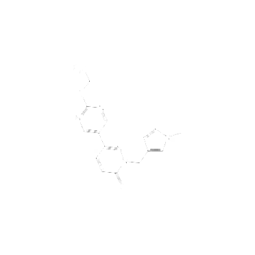 Cn1ccc(Cn2nc(-c3cnc(OCC(F)(F)F)nc3)ccc2=O)c1